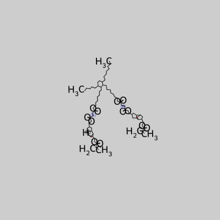 C=C(C)C(=O)OCC1CC2CC1C1CC(COC(=O)/C=C/C(=O)OCCCCCCCC3C(CCCCCCCC)CCC(CCCCCC)C3CCCCCCCOC(=O)/C=C/C(=O)OCC3CC4C5CC(CC5COC(=O)C(=C)C)[C@H]4C3)CC21